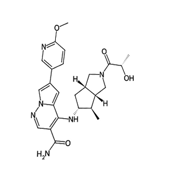 COc1ccc(-c2cc3c(N[C@@H]4C[C@@H]5CN(C(=O)[C@H](C)O)C[C@@H]5[C@H]4C)c(C(N)=O)cnn3c2)cn1